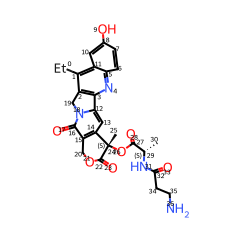 CCc1c2c(nc3ccc(O)cc13)-c1cc3c(c(=O)n1C2)COC(=O)[C@@]3(C)OC(=O)[C@H](C)NC(=O)CCN